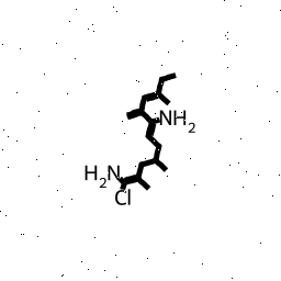 C=C(/C=C(\C)CC)/C(N)=C/CC(C)C/C(C)=C(\N)Cl